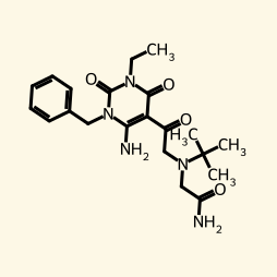 CCn1c(=O)c(C(=O)CN(CC(N)=O)C(C)(C)C)c(N)n(Cc2ccccc2)c1=O